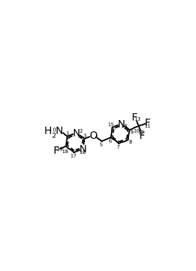 Nc1nc(OCc2ccc(C(F)(F)F)nc2)ncc1F